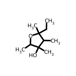 CCC1(C)OC(C)C(C)(O)C1C